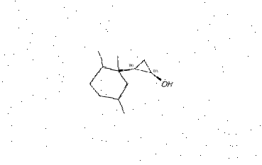 CC1CCC(C)C(C)([C@H]2C[C@H]2O)C1